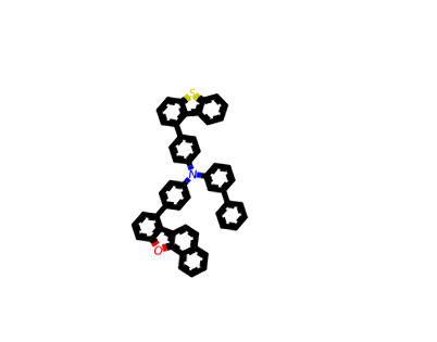 c1ccc(-c2cccc(N(c3ccc(-c4cccc5oc6c7ccccc7ccc6c45)cc3)c3ccc(-c4cccc5sc6ccccc6c45)cc3)c2)cc1